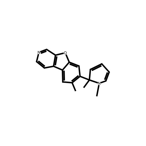 Cc1cc2c(cc1C1(C)C=CC=CN1C)oc1cnccc12